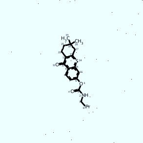 CC(C)CNC(=O)Oc1ccc2c(=O)c3c(sc2c1)CC(C)(C)CC3